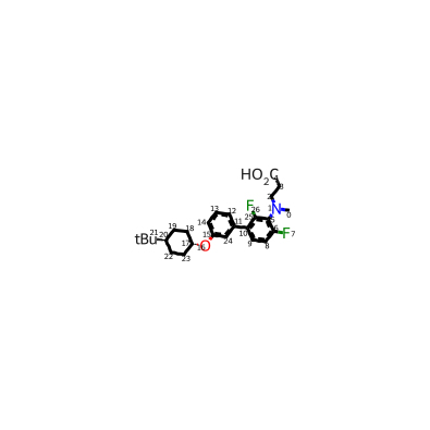 CN(CCC(=O)O)c1c(F)ccc(-c2cccc(O[C@H]3CC[C@H](C(C)(C)C)CC3)c2)c1F